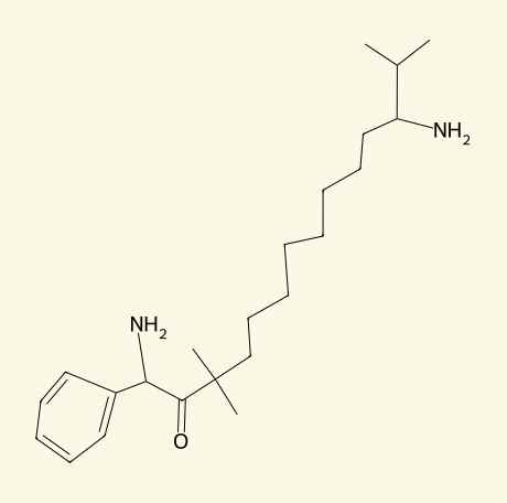 CC(C)C(N)CCCCCCCCC(C)(C)C(=O)C(N)c1ccccc1